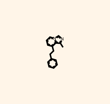 Cc1ncn2cccc(CCc3ccccc3)c12